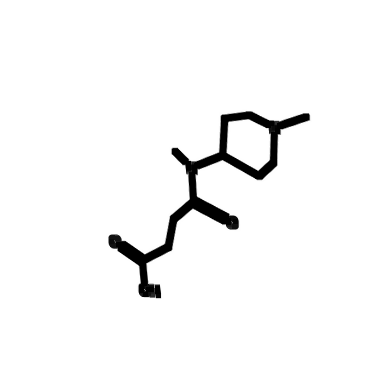 CN1CCC(N(C)C(=O)CCC(=O)O)CC1